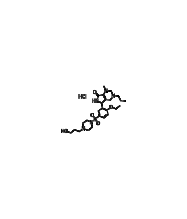 CCCN1CC2=C(C(=O)NC2c2cc(S(=O)(=O)N3CCN(CCCO)CC3)ccc2OCC)N(C)C1.Cl